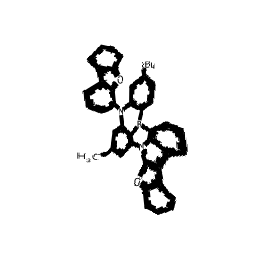 Cc1cc2c3c(c1)-n1c4oc5ccccc5c4c4cccc(c41)B3c1ccc(C(C)(C)C)cc1N2c1cccc2c1oc1ccccc12